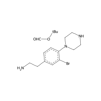 CC(C)(C)OC=O.NCCc1ccc(N2CCNCC2)c(Br)c1